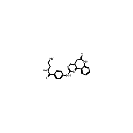 [C-]#[N+]CCN(C)C(=O)c1ccc(Nc2ncc3c(n2)-c2ccccc2NC(=O)C3)cc1